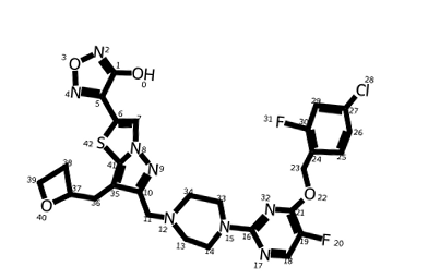 Oc1nonc1-c1cn2nc(CN3CCN(c4ncc(F)c(OCc5ccc(Cl)cc5F)n4)CC3)c(CC3CCO3)c2s1